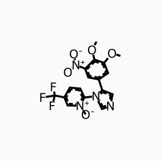 COc1cc(-c2cncn2-c2ccc(C(F)(F)F)c[n+]2[O-])cc([N+](=O)[O-])c1OC